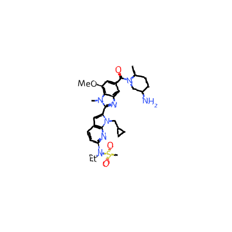 CCN(c1ccc2cc(-c3nc4cc(C(=O)N5CC(N)CCC5C)cc(OC)c4n3C)n(CC3CC3)c2n1)S(C)(=O)=O